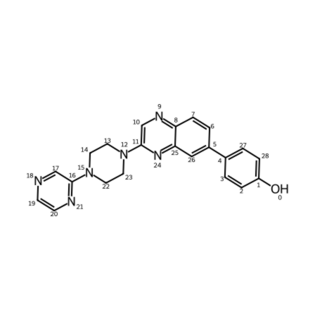 Oc1ccc(-c2ccc3ncc(N4CCN(c5cnccn5)CC4)nc3c2)cc1